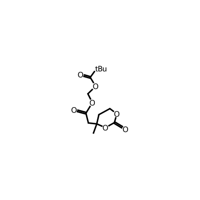 CC1(CC(=O)OCOC(=O)C(C)(C)C)CCOC(=O)O1